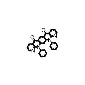 O=c1c2cc3c(=O)c4cccnc4n(-c4ccccc4)c3cc2n(-c2ccccc2)c2ncccc12